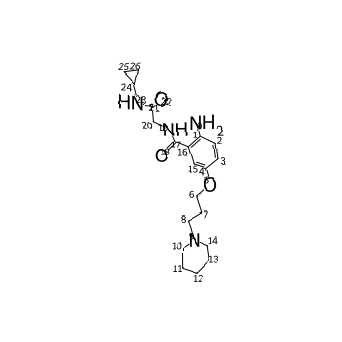 Nc1ccc(OCCCN2CCCCC2)cc1C(=O)NCC(=O)NC1CC1